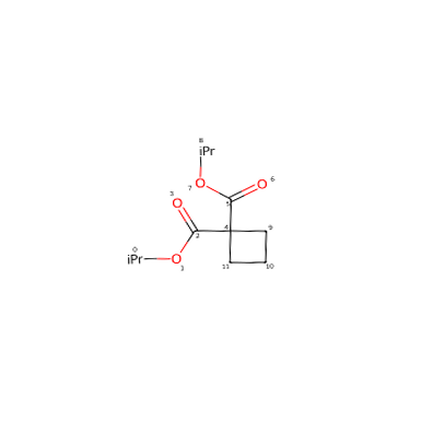 CC(C)OC(=O)C1(C(=O)OC(C)C)CCC1